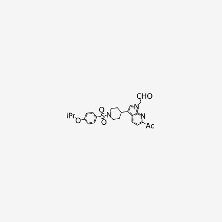 CC(=O)c1ccc2c(C3CCN(S(=O)(=O)c4ccc(OC(C)C)cc4)CC3)cn(CC=O)c2n1